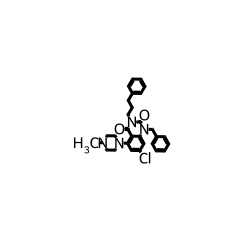 CN1CCN(c2cc(Cl)cc3c2c(=O)n(CCCc2ccccc2)c(=O)n3Cc2ccccc2)CC1